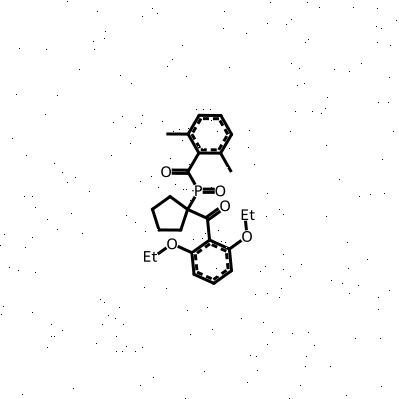 CCOc1cccc(OCC)c1C(=O)C1([P](=O)C(=O)c2c(C)cccc2C)CCCC1